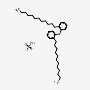 CCCCCCCCCCCCc1ccccc1[I+]c1ccccc1CCCCCCCCCCCC.O=S(=O)([O-])O